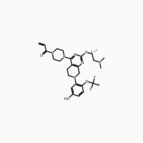 C=CC(=O)N1CCN(c2nc(O[C@H](C)CN(C)C)nc3c2CCN(c2cc(O)ccc2OC(F)(F)F)C3)CC1